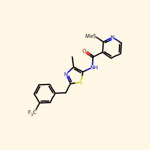 CSc1ncccc1C(=O)Nc1sc(Cc2cccc(C(F)(F)F)c2)nc1C